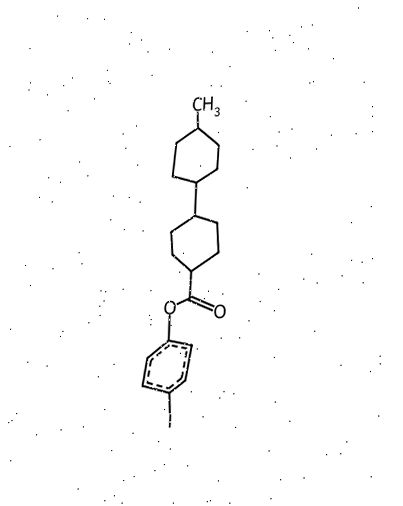 CC1CCC(C2CCC(C(=O)Oc3ccc(I)cc3)CC2)CC1